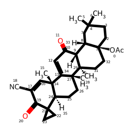 CC(=O)O[C@]12CCC(C)(C)C[C@H]1[C@H]1C(=O)C=C3[C@@]4(C)C=C(C#N)C(=O)C5(CC5)[C@@H]4CC[C@@]3(C)[C@]1(C)CC2